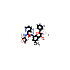 Cc1cc(C(C)Nc2cccnc2C(=O)N[C@@H]2CCOC2)c2oc(-c3ccccc3)c(C)c(=O)c2c1